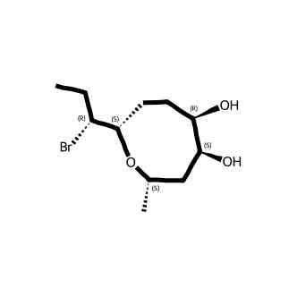 CC[C@@H](Br)[C@@H]1CC[C@@H](O)[C@@H](O)C[C@H](C)O1